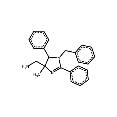 CC1(CN)N=C(c2ccccc2)N(Cc2ccccc2)C1c1ccccc1